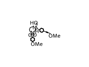 COCC#Cc1ccc([C@@H]2[C@H](CO)N3CCCCN(S(=O)(=O)c4ccc(OC)cc4)C[C@@H]23)cc1